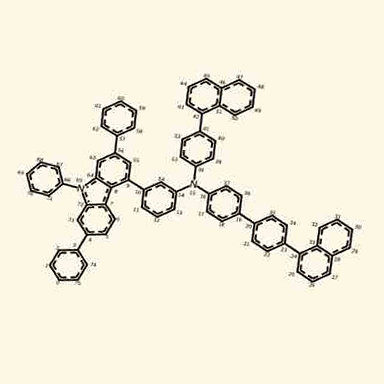 c1ccc(-c2ccc3c4c(-c5cccc(N(c6ccc(-c7ccc(-c8cccc9ccccc89)cc7)cc6)c6ccc(-c7cccc8ccccc78)cc6)c5)cc(-c5ccccc5)cc4n(-c4ccccc4)c3c2)cc1